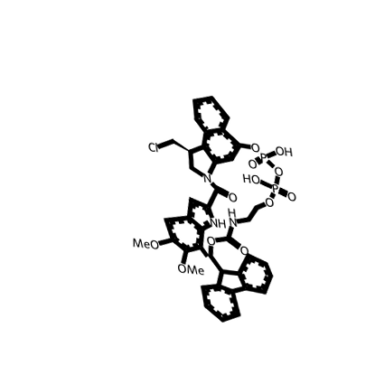 COc1cc2cc(C(=O)N3C[C@@H](CCl)c4c3cc(OP(=O)(O)OP(=O)(O)OCCNC(=O)OCC3c5ccccc5-c5ccccc53)c3ccccc43)[nH]c2c(C)c1OC